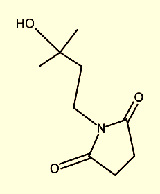 CC(C)(O)CCN1C(=O)CCC1=O